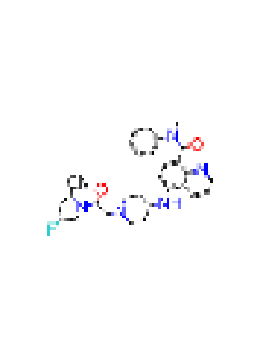 CN(C(=O)c1ccc(NC2CCN(CC(=O)N3C[C@@H](F)CC3C#N)CC2)c2cccnc12)c1ccccc1